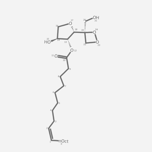 CCCCCCCC/C=C\CCCCCCCC(=O)O[C@@H]1[C@@H](O)CO[C@@H]1[C@]1(CO)COO1